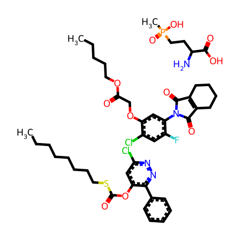 CCCCCCCCSC(=O)Oc1cc(Cl)nnc1-c1ccccc1.CCCCCOC(=O)COc1cc(N2C(=O)C3=C(CCCC3)C2=O)c(F)cc1Cl.CP(=O)(O)CCC(N)C(=O)O